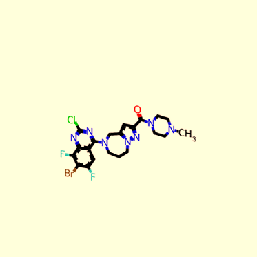 CN1CCN(C(=O)c2cc3n(n2)CCCN(c2nc(Cl)nc4c(F)c(Br)c(F)cc24)C3)CC1